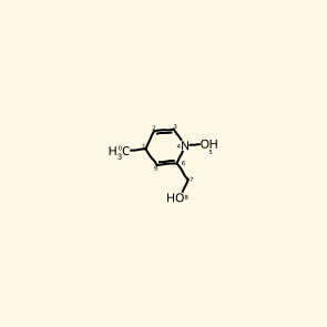 CC1C=CN(O)C(CO)=C1